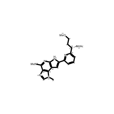 CNc1nc2[nH]c(-c3cccc([C@H](CCOC)NC(C)=O)n3)cc2c2c1ncn2C